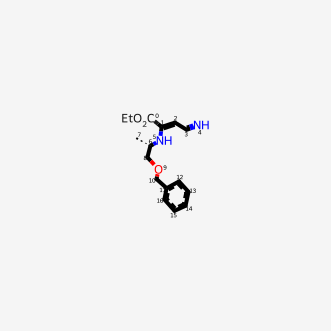 CCOC(=O)/C(=C/C=N)N[C@@H](C)COCc1ccccc1